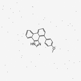 COc1ccc(-c2cccc3c4ccccc4c4[nH][c]nc4c23)cc1